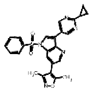 Cc1noc(C)c1-c1cnc2c(-c3cnc(C4CC4)nc3)cn(S(=O)(=O)c3ccccc3)c2c1